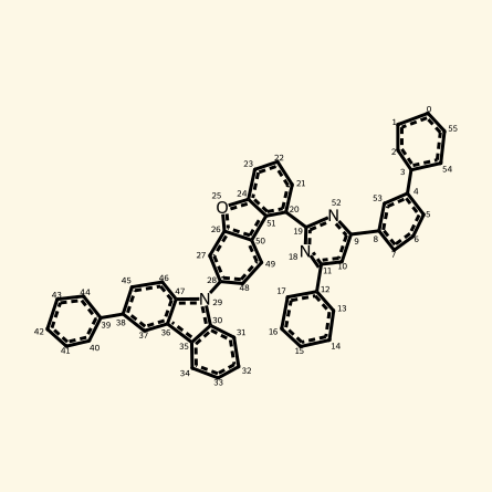 c1ccc(-c2cccc(-c3cc(-c4ccccc4)nc(-c4cccc5oc6cc(-n7c8ccccc8c8cc(-c9ccccc9)ccc87)ccc6c45)n3)c2)cc1